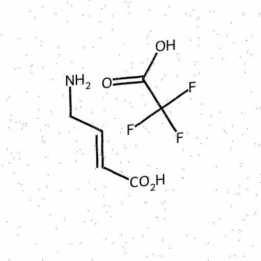 NC/C=C/C(=O)O.O=C(O)C(F)(F)F